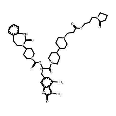 Cc1cc(C[C@@H](OC(=O)N2CCC(N3CCc4ccccc4NC3=O)CC2)C(=O)N2CCC(C3CCN(CCC(=O)OCCCN4CCCC4=O)CC3)CC2)cc2oc(=O)n(C)c12